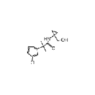 CC(C)(C(=O)NC1(CO)CC1)c1cccc(Cl)c1